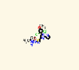 COc1cc(Cl)c(-c2cc(-c3cnc(NC(=O)NC(C)C)s3)nc(-c3ccccn3)n2)c(Cl)c1